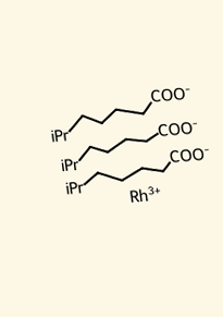 CC(C)CCCCC(=O)[O-].CC(C)CCCCC(=O)[O-].CC(C)CCCCC(=O)[O-].[Rh+3]